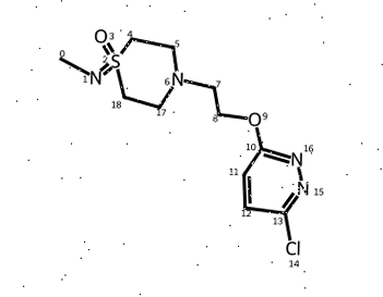 CN=S1(=O)CCN(CCOc2ccc(Cl)nn2)CC1